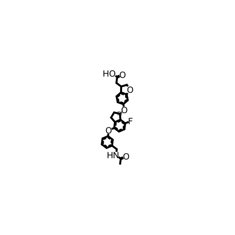 CC(=O)NCc1cccc(Oc2ccc(F)c3c2CC[C@H]3Oc2ccc3c(c2)OCC3CC(=O)O)c1